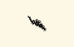 CCCCCC1CCC(c2ccc(-c3ccc(OCCC)cc3)c(F)c2F)CC1